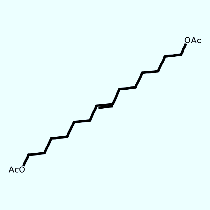 CC(=O)OCCCCCCC=CCCCCCCOC(C)=O